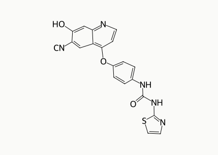 [C-]#[N+]c1cc2c(Oc3ccc(NC(=O)Nc4nccs4)cc3)ccnc2cc1O